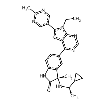 CCn1c(-c2cnc(C)nc2)nc2c(-c3ccc4c(c3)[C@](C)(N[C@H](C)C3CC3)C(=O)N4)ncnc21